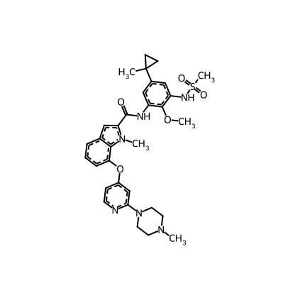 COc1c(NC(=O)c2cc3cccc(Oc4ccnc(N5CCN(C)CC5)c4)c3n2C)cc(C2(C)CC2)cc1NS(C)(=O)=O